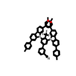 Cc1ccc(-c2ccc3c4ccc(-c5cccc(C)c5)cc4n(-c4cc(-c5cccc(C#N)c5)cc(-n5c6cc(-c7ccc(C)cc7)ccc6c6ccc(-c7cccc(C)c7)cc65)c4C(F)(F)F)c3c2)cc1